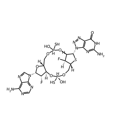 Nc1nc2c(nnn2[C@@H]2S[C@@H]3CO[PH](O)(S)O[C@H]4[C@H](F)[C@H](n5cnc6c(N)ncnc65)O[C@@H]4CO[PH](O)(S)O[C@@H]2[C@@H]3F)c(=O)[nH]1